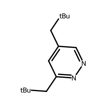 CC(C)(C)Cc1cnnc(CC(C)(C)C)c1